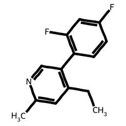 CCc1cc(C)ncc1-c1ccc(F)cc1F